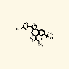 CCc1nnn2c1-c1cc(C(C)(C)O)ccc1-n1cnc(-c3nc(C)no3)c1C2